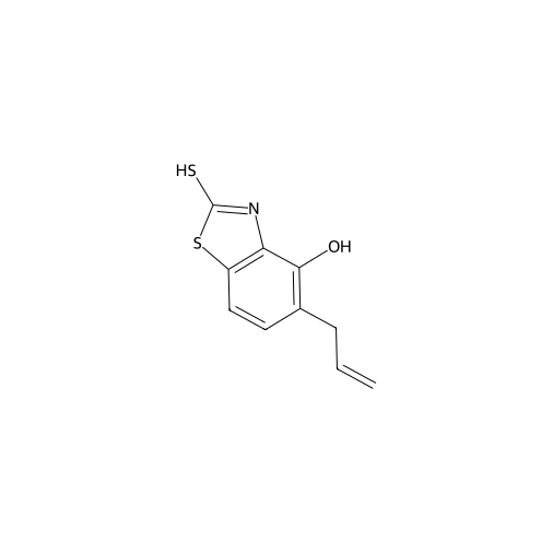 C=CCc1ccc2sc(S)nc2c1O